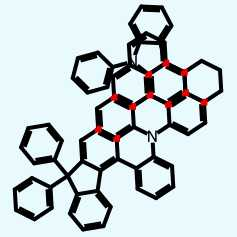 c1ccc(-n2c3ccccc3c3cccc(-c4ccccc4N(c4ccccc4-c4cccc5c4-c4ccccc4C5(c4ccccc4)c4ccccc4)c4ccccc4-c4cccc5cccc(C6CCCCC6)c45)c32)cc1